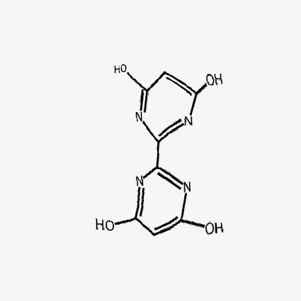 Oc1cc(O)nc(-c2nc(O)cc(O)n2)n1